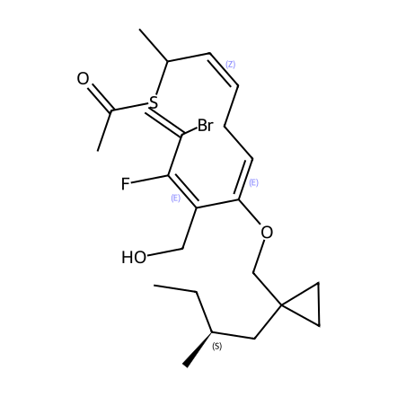 C=C(Br)/C(F)=C(CO)\C(=C/C/C=C\C(C)SC(C)=O)OCC1(C[C@@H](C)CC)CC1